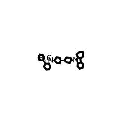 CN(c1ccc(-c2ccc(-n3c4ccccc4c4ccccc43)cc2)cc1)c1ccccc1-c1ccccc1